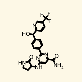 NC(=O)c1cc(NC2CCNC2=O)nc(-c2ccc(C(O)c3ccc(C(F)(F)F)cn3)cc2)n1